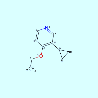 FC(F)(F)COc1ccncc1C1CC1